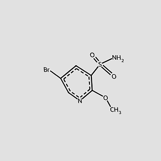 COc1ncc(Br)cc1S(N)(=O)=O